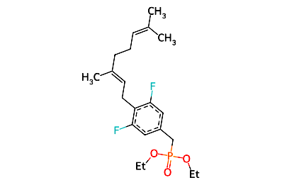 CCOP(=O)(Cc1cc(F)c(C/C=C(\C)CCC=C(C)C)c(F)c1)OCC